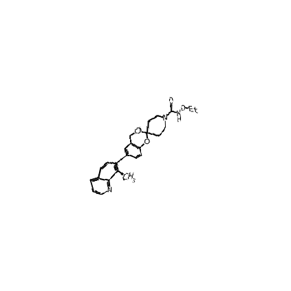 CCONC(=O)N1CCC2(CC1)OCc1cc(-c3ccc4cccnc4c3C)ccc1O2